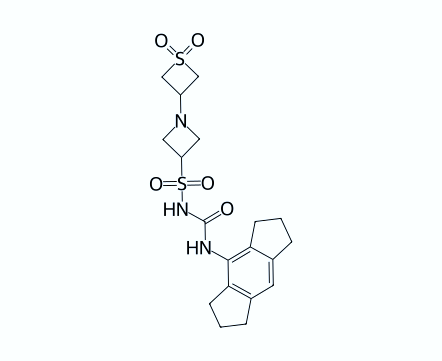 O=C(Nc1c2c(cc3c1CCC3)CCC2)NS(=O)(=O)C1CN(C2CS(=O)(=O)C2)C1